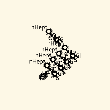 CCCCCCCC1CCC(C(=O)Oc2ccc([S])c(Cl)c2)CC1.CCCCCCCC1CCC(C(=O)Oc2ccc([S])c(Cl)c2)CC1.CCCCCCCC1CCC(C(=O)Oc2ccc([S])c(Cl)c2)CC1.CCCCCCCC1CCC(C(=O)Oc2ccc([S])c(Cl)c2)CC1.CCCCCCCC1CCC(C(=O)Oc2ccc([S])c(Cl)c2)CC1.F.F.F.F.F